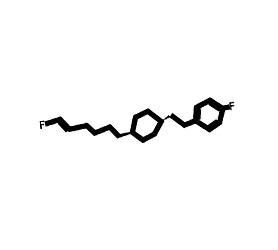 FC=CCCCC[C@H]1CC[C@H](CCc2ccc(F)cc2)CC1